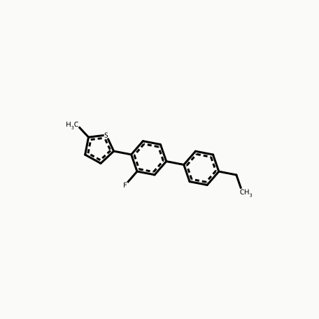 CCc1ccc(-c2ccc(-c3ccc(C)s3)c(F)c2)cc1